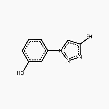 [2H]c1cn(-c2cccc(O)c2)nn1